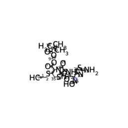 C#CCSC1=C(C(=O)OCOC(=O)C(C)(C)C)N2C(=O)[C@@H](NC(=O)/C(=N\O)c3csc(N)n3)[C@H]2SC1